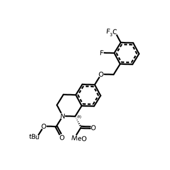 COC(=O)[C@H]1c2ccc(OCc3cccc(C(F)(F)F)c3F)cc2CCN1C(=O)OC(C)(C)C